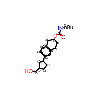 CCCCNC(=O)OC1CCc2cc(C3CCC(CO)C3)ccc2C1